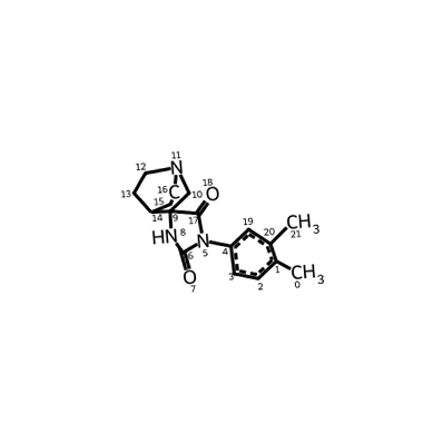 Cc1ccc(N2C(=O)NC3(CN4CCC3CC4)C2=O)cc1C